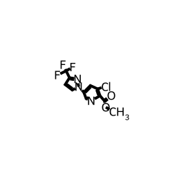 COC(=O)c1ncc(-n2ccc(C(F)(F)F)n2)cc1Cl